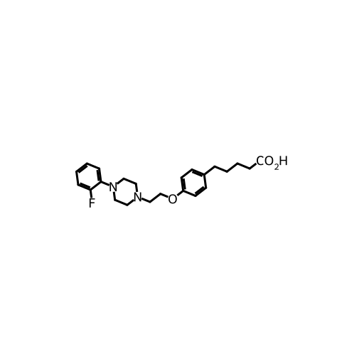 O=C(O)CCCCc1ccc(OCCN2CCN(c3ccccc3F)CC2)cc1